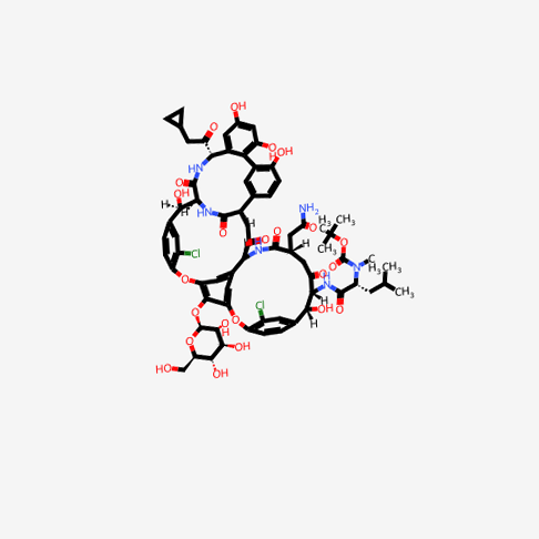 CC(C)C[C@H](C(=O)N[C@H]1C(=O)C[C@@H](CC(N)=O)C(=O)N[C@H]2C(=O)C[C@H]3C(=O)N[C@H](C(=O)N[C@H](C(=O)CC4CC4)c4cc(O)cc(O)c4-c4cc3ccc4O)[C@H](O)c3ccc(c(Cl)c3)Oc3cc2cc(c3O[C@@H]2O[C@H](CO)[C@@H](O)[C@H](O)[C@H]2O)Oc2ccc(cc2Cl)[C@H]1O)N(C)C(=O)OC(C)(C)C